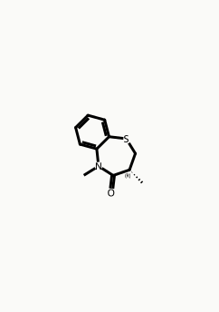 C[C@H]1CSc2ccccc2N(C)C1=O